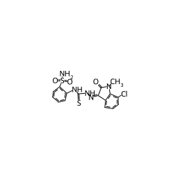 CN1C(=O)C(=NNC(=S)Nc2ccccc2S(N)(=O)=O)c2cccc(Cl)c21